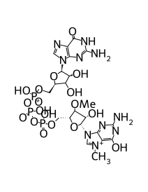 COC1[C@@H](COP(=O)(O)OP(=O)(O)OP(=O)(O)OC[C@H]2O[C@@H](n3cnc4c(=O)[nH]c(N)nc43)[C@@H](O)C2O)O[C@@H](n2c[n+](C)c3c(O)nc(N)nc32)[C@H]1O